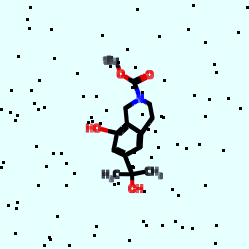 CC(C)(C)OC(=O)N1CCc2cc(C(C)(C)O)cc(O)c2C1